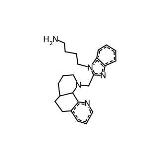 NCCCCn1c(CN2CCCC3CCc4cccnc4C32)nc2ccccc21